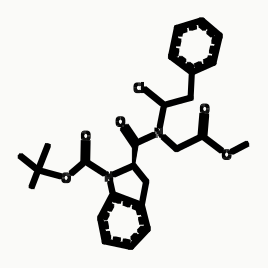 COC(=O)CN(C(=O)[C@H]1Cc2ccccc2N1C(=O)OC(C)(C)C)C(Cl)Cc1ccccc1